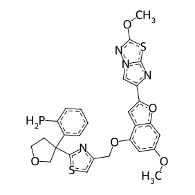 COc1cc(OCc2csc(C3(c4ccccc4P)CCOC3)n2)c2cc(-c3cn4nc(OC)sc4n3)oc2c1